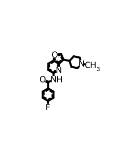 CN1CCC(c2coc3ccc(NC(=O)c4ccc(F)cc4)nc23)CC1